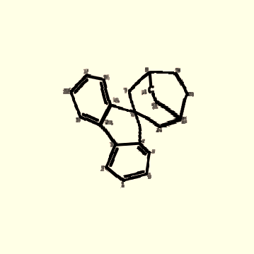 [c]1ccc2c(c1)C1(CC3CCC(CC3)C1)c1c[c]ccc1-2